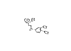 CCOC(=O)/C=C/C=C/[C@@H]1C[C@H]1c1ccc(Cl)c(Cl)c1